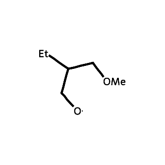 CCC(C[O])COC